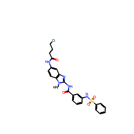 CCCn1c(NC(=O)c2cccc(NS(=O)(=O)c3ccccc3)c2)nc2cc(NC(=O)CCCCl)ccc21